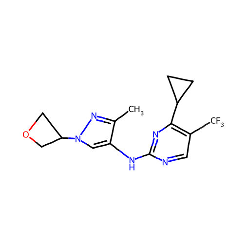 Cc1nn(C2COC2)cc1Nc1ncc(C(F)(F)F)c(C2CC2)n1